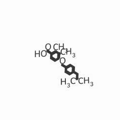 Cc1c(OCc2ccc(CC(C)C)cc2)ccc(C(=O)O)c1C